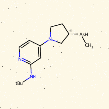 C[AsH][C@H]1CCN(c2ccnc(NC(C)(C)C)c2)C1